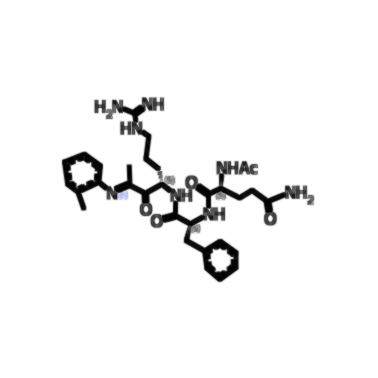 CC(=O)N[C@@H](CCC(N)=O)C(=O)N[C@@H](Cc1ccccc1)C(=O)N[C@@H](CCCNC(=N)N)C(=O)/C(C)=N/c1ccccc1C